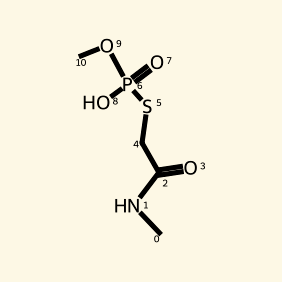 CNC(=O)CSP(=O)(O)OC